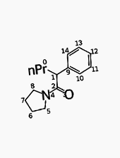 CCCC(C(=O)N1CCCC1)c1ccccc1